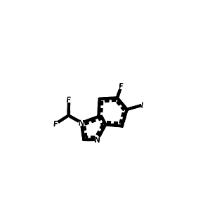 Fc1cc2c(cc1I)ncn2C(F)F